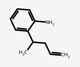 C=CCC(C)c1ccccc1N